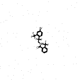 O=C(NCC(F)(F)c1ccc(Br)cc1C(F)(F)F)c1ccccc1C(F)(F)F